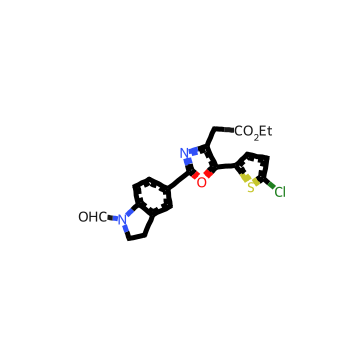 CCOC(=O)Cc1nc(-c2ccc3c(c2)CCN3C=O)oc1-c1ccc(Cl)s1